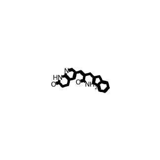 NC(=O)C(=Cc1cnc2c(c1)CCC(=O)N2)CC1=Cc2ccccc2C1